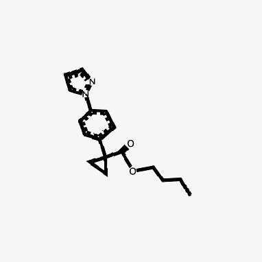 CCCCOC(=O)C1(c2ccc(-n3cccn3)cc2)CC1